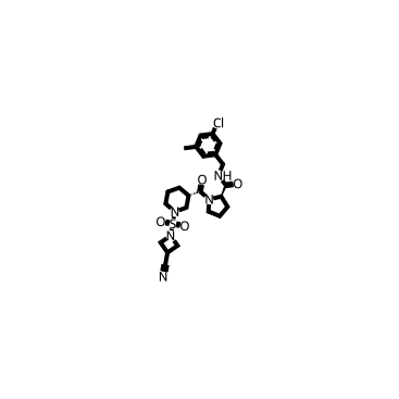 Cc1cc(Cl)cc(CNC(=O)[C@H]2CCCN2C(=O)[C@H]2CCCN(S(=O)(=O)N3CC(C#N)C3)C2)c1